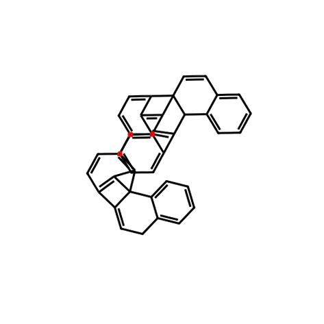 C1=CC23c4ccc(-c5ccc6c7c5C75C6=CCc6ccccc65)c5c(c6ccccc6c2c45)C3c2ccccc21